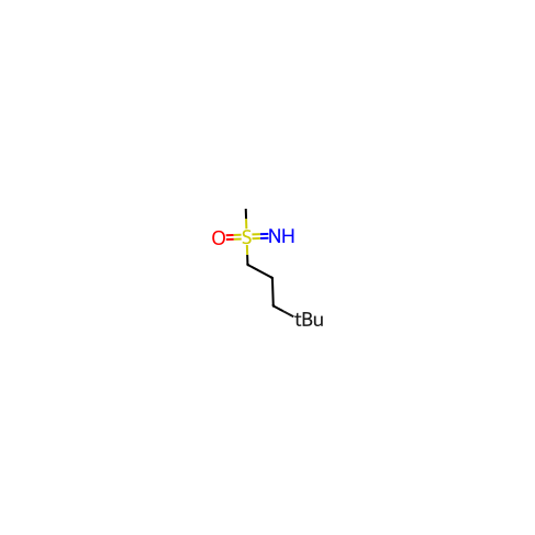 CC(C)(C)CCCS(C)(=N)=O